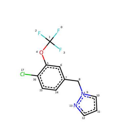 FC(F)(F)Oc1cc(Cn2cccn2)ccc1Cl